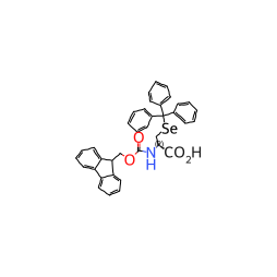 O=C(N[C@@H](C[Se]C(c1ccccc1)(c1ccccc1)c1ccccc1)C(=O)O)OCC1c2ccccc2-c2ccccc21